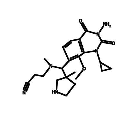 COc1c(C(N(C)CCC#N)C2(C)CCNC2)ccc2c(=O)n(N)c(=O)n(C3CC3)c12